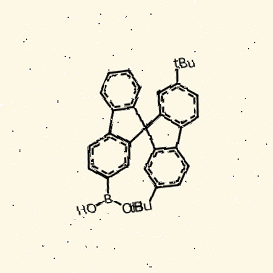 CC(C)(C)c1ccc2c(c1)C1(c3ccccc3-c3ccc(B(O)O)cc31)c1cc(C(C)(C)C)ccc1-2